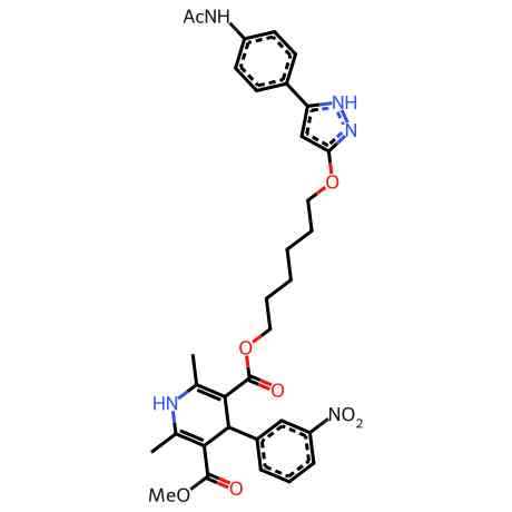 COC(=O)C1=C(C)NC(C)=C(C(=O)OCCCCCCOc2cc(-c3ccc(NC(C)=O)cc3)[nH]n2)C1c1cccc([N+](=O)[O-])c1